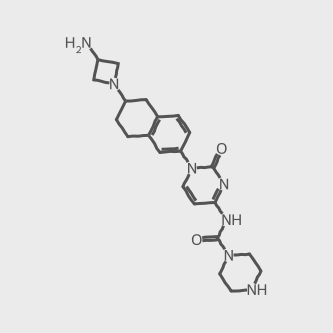 NC1CN(C2CCc3cc(-n4ccc(NC(=O)N5CCNCC5)nc4=O)ccc3C2)C1